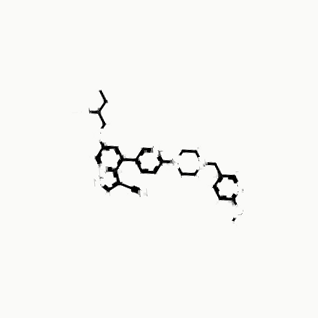 CCC(O)COc1cc(-c2ccc(N3CCN(Cc4ccc(OC)nc4)CC3)nc2)c2c(C#N)cnn2c1